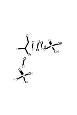 CC(C)C(Cl)CCl.CCCl.CCCl.CCCl.CCCl.O=P(O)(O)O.O=P(O)(O)O